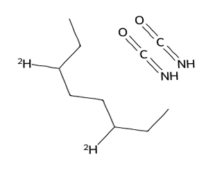 N=C=O.N=C=O.[2H]C(CC)CCC([2H])CC